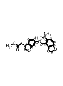 COC(=O)C[C@@H]1COc2cc(OCc3c(N(C)C)ccc4c3OCO4)ccc21